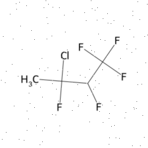 CC(F)(Cl)C(F)C(F)(F)F